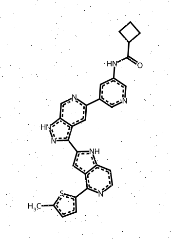 Cc1ccc(-c2nccc3[nH]c(-c4n[nH]c5cnc(-c6cncc(NC(=O)C7CCC7)c6)cc45)cc23)s1